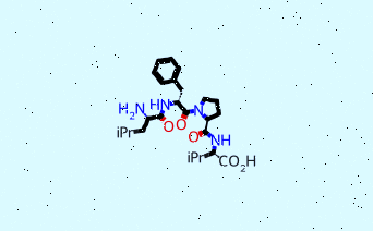 CC(C)C[C@H](N)C(=O)N[C@H](Cc1ccccc1)C(=O)N1CCC[C@H]1C(=O)N[C@H](C(=O)O)C(C)C